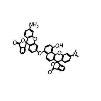 CN(C)c1ccc2c(c1)Oc1c(ccc3c(Oc4ccc5c(c4)Oc4cc(N)ccc4C54OC(=O)c5ccccc54)ccc(O)c13)C21OC(=O)c2ccccc21